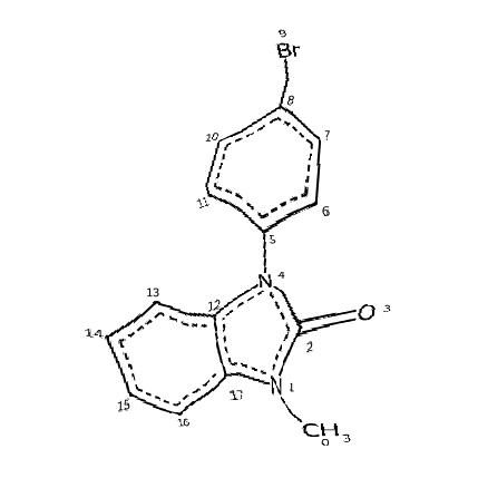 Cn1c(=O)n(-c2ccc(Br)cc2)c2ccccc21